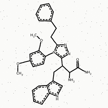 COc1ccc(-n2c(CCc3ccccc3)nnc2C(Cc2c[nH]c3ccccc23)C(N)C(N)=O)c(OC)c1